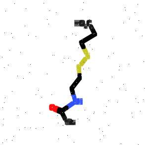 CC(C)(C)C(=O)NCCSSCCC(=O)O